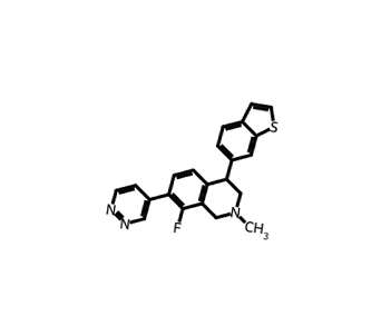 CN1Cc2c(ccc(-c3ccnnc3)c2F)C(c2ccc3ccsc3c2)C1